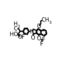 CCCOc1c2c(c(OC(F)F)c3ccccc13)C(=O)N(c1ccc(C(CC)C(=O)O)c(F)c1)C2